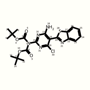 CC(C)(C)OC(=O)N(C(=O)OC(C)(C)C)c1nc(N)c(-c2nc3ccccc3s2)c(Cl)n1